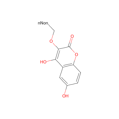 CCCCCCCCCCOc1c(O)c2cc(O)ccc2oc1=O